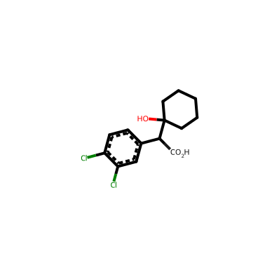 O=C(O)C(c1ccc(Cl)c(Cl)c1)C1(O)CCCCC1